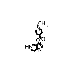 CCN1CCC(C(=O)Oc2ncnc3c2CNCC3)CC1